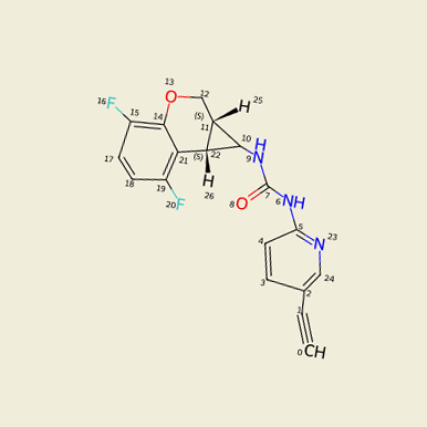 C#Cc1ccc(NC(=O)NC2[C@H]3COc4c(F)ccc(F)c4[C@@H]23)nc1